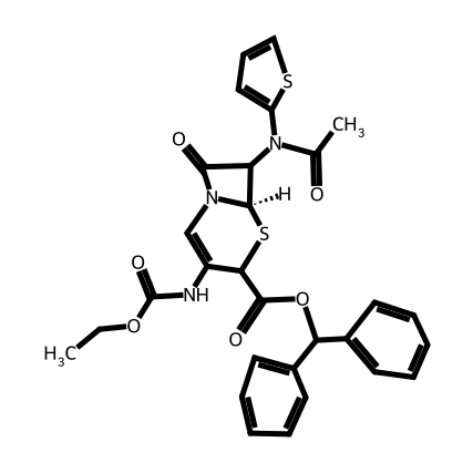 CCOC(=O)NC1=CN2C(=O)C(N(C(C)=O)c3cccs3)[C@H]2SC1C(=O)OC(c1ccccc1)c1ccccc1